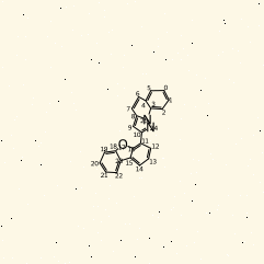 c1ccc2c(c1)ccc1cc(-c3cccc4c3oc3ccccc34)nn12